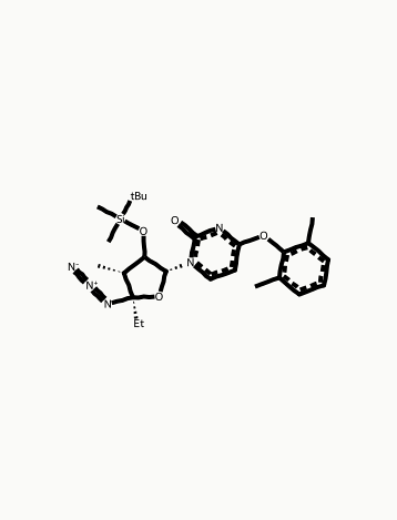 CC[C@@]1(N=[N+]=[N-])O[C@@H](n2ccc(Oc3c(C)cccc3C)nc2=O)C(O[Si](C)(C)C(C)(C)C)[C@H]1C